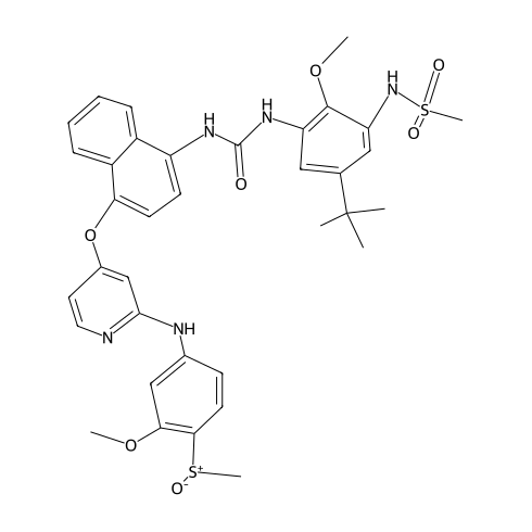 COc1cc(Nc2cc(Oc3ccc(NC(=O)Nc4cc(C(C)(C)C)cc(NS(C)(=O)=O)c4OC)c4ccccc34)ccn2)ccc1[S+](C)[O-]